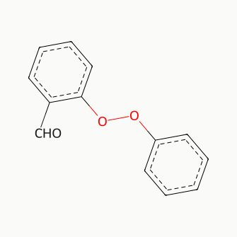 O=Cc1ccccc1OOc1ccccc1